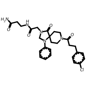 NC(=O)CCNC(=O)CN1CN(c2ccccc2)C2(CCN(C(=O)[CH]Cc3ccc(Cl)cc3)CC2)C1=O